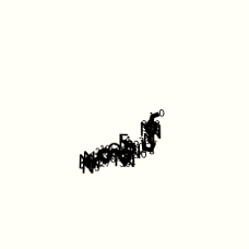 CCc1cnc(N2CC[C@H](Cn3cc(F)c4c(Oc5ccc(-n6cnnn6)cc5)ncnc43)C2)nc1